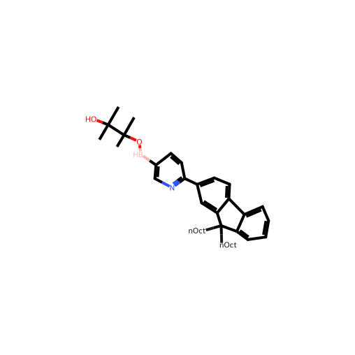 CCCCCCCCC1(CCCCCCCC)c2ccccc2-c2ccc(-c3ccc(BOC(C)(C)C(C)(C)O)cn3)cc21